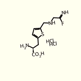 Cl.Cl.N=C(F)CNCc1ccc(C[C@H](N)C(=O)O)s1